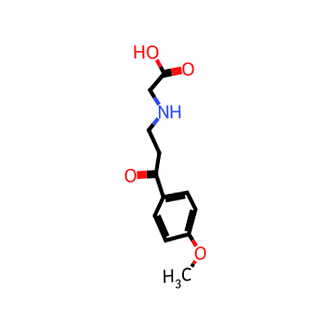 COc1ccc(C(=O)CCNCC(=O)O)cc1